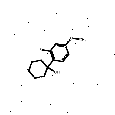 COc1ccc(C2(O)CCCCC2)c(F)c1